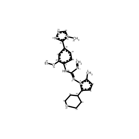 C=N/C(=N\n1c(C)ccc1C1CCOCC1)Nc1ccc(-c2nncn2C)cc1OCC